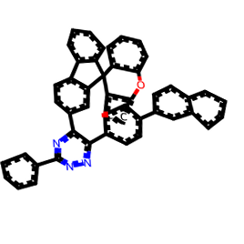 c1ccc(-c2nnc(-c3ccc(-c4ccc5ccccc5c4)cc3)c(-c3ccc4c(c3)C3(c5ccccc5Oc5ccccc53)c3ccccc3-4)n2)cc1